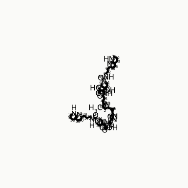 Cc1cc(C2CC2c2nnc(C(=O)N[C@H](C(=O)O)C3(O)CCN(C(=O)NCCCc4ccc5c(n4)NCCC5)CC3)o2)nn1CCC(=O)NC(C(=O)O)C1(O)CCN(C(=O)NCCCc2ccc3c(n2)NCCC3)CC1